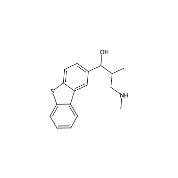 CNCC(C)C(O)c1ccc2sc3ccccc3c2c1